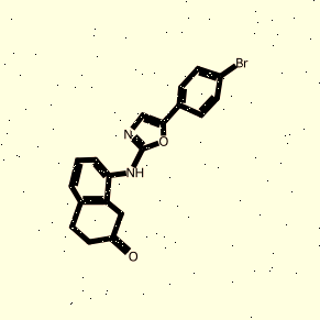 O=C1CCc2cccc(Nc3ncc(-c4ccc(Br)cc4)o3)c2C1